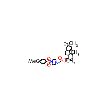 CC[C@@]1(C)CC=C2C(CCC3[C@](C)(COC(=O)CN4CCN(S(=O)(=O)c5ccc(OC)cc5)CC4)CCC[C@@]23C)C1